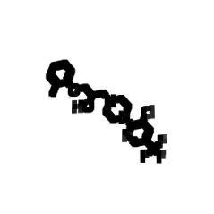 Cc1ccccc1OCC(O)CN1CCN(c2ncc(C(F)(F)F)cc2Cl)CC1